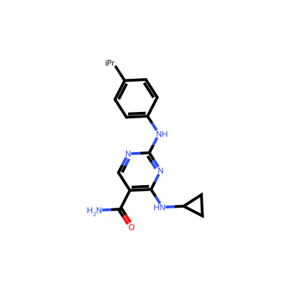 CC(C)c1ccc(Nc2ncc(C(N)=O)c(NC3CC3)n2)cc1